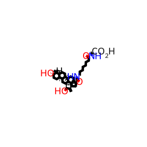 C=C(CO)[C@@H]1CC[C@]2(C(=O)NCCCCCCCC(=O)NCC(=O)O)CC[C@]3(C)[C@H](CCC4[C@@]5(C)CC[C@H](O)C(C)(C)[C@@H]5CC[C@]43C)[C@@H]12